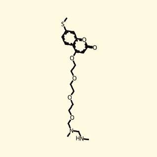 CNCN(C)COCCOCCOCCOc1cc(=O)oc2cc(SC)ccc12